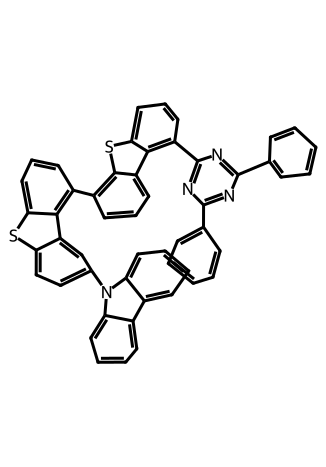 c1ccc(-c2nc(-c3ccccc3)nc(-c3cccc4sc5c(-c6cccc7sc8ccc(-n9c%10ccccc%10c%10ccccc%109)cc8c67)cccc5c34)n2)cc1